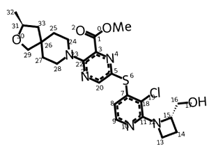 COC(=O)c1nc(Sc2ccnc(N3CC[C@H]3CO)c2Cl)cnc1N1CCC2(CC1)CO[C@@H](C)C2